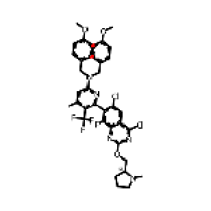 COc1ccc(CN(Cc2ccc(OC)cc2)c2cc(C)c(C(F)(F)F)c(-c3c(Cl)cc4c(Cl)nc(OC[C@@H]5CCCN5C)nc4c3F)n2)cc1